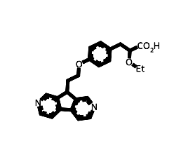 CCOC(Cc1ccc(OCCC2c3cnccc3-c3ccncc32)cc1)C(=O)O